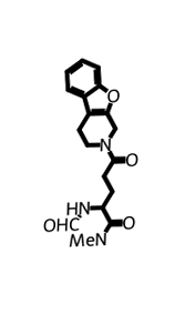 CNC(=O)C(CCC(=O)N1CCc2c(oc3ccccc23)C1)NC=O